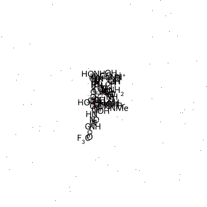 CN[C@H](CC(C)C)C(=O)NC1C(=O)N[C@@H](CC(N)=O)C(=O)N[C@H]2C(=O)N[C@H]3C(=O)N[C@H](C(=O)N[C@@H](C(=O)O)c4cc(O)c(CNCC[N+](C)(C)C)c(O)c4-c4cc3ccc4O)[C@H](OC3C[C@](C)(N)[C@@H](O)[C@H](C)O3)c3ccc(c(Cl)c3)Oc3cc2cc(c3O[C@@H]2O[C@H](CO)[C@@H](O[C@@H]3O[C@H](CNCCn4ccc(NC(=O)c5ccc(OC(F)(F)F)cc5)nc4=O)[C@H](O)[C@H](O)[C@H]3O)[C@H](O)[C@H]2O)Oc2ccc(cc2Cl)[C@H]1O